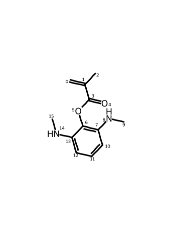 C=C(C)C(=O)Oc1c(NC)cccc1NC